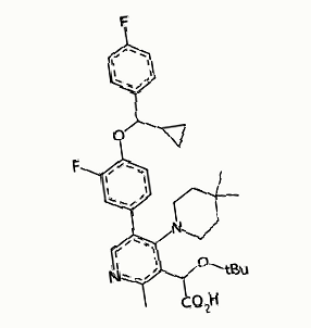 Cc1ncc(-c2ccc(OC(c3ccc(F)cc3)C3CC3)c(F)c2)c(N2CCC(C)(C)CC2)c1C(OC(C)(C)C)C(=O)O